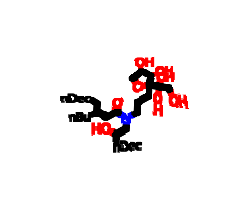 CCCCCCCCCCCC(=CC(=O)N(CCCC1(C(O)(O)CO)OC[C@@H](O)[C@H]1O)CC(O)CCCCCCCCCC)CCCC